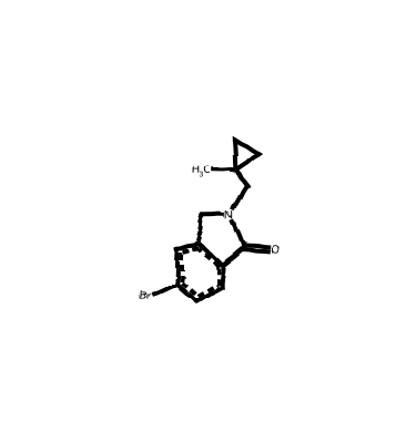 CC1(CN2Cc3cc(Br)ccc3C2=O)CC1